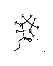 CCCC(=O)C1(F)N(F)C(F)(F)C(F)(F)N1F